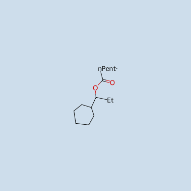 CCCC[CH]C(=O)OC(CC)C1CCCCC1